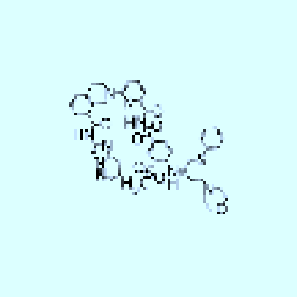 CS(=O)(=O)c1cc(S(=O)(=O)NC(=O)c2cccc(N3CCc4cccc(C(=O)Nc5cn6ncccc6n5)c4C3)n2)ccc1N[C@H](CCN1CCOCC1)CSc1ccccc1